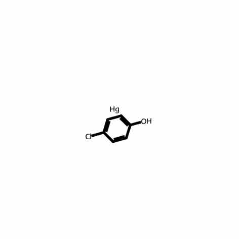 Oc1ccc(Cl)cc1.[Hg]